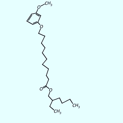 CCCCC(CC)COC(=O)CCCCCCCCCCOc1cccc(OC)c1